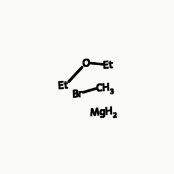 CBr.CCOCC.[MgH2]